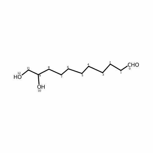 O=CCCCCCCCCC(O)CO